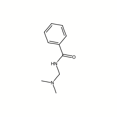 CN(C)CNC(=O)c1ccccc1